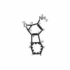 NC1=CC2=C(c3ccccc32)C2OC12